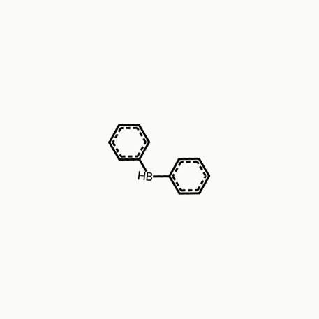 B(c1ccccc1)c1ccccc1